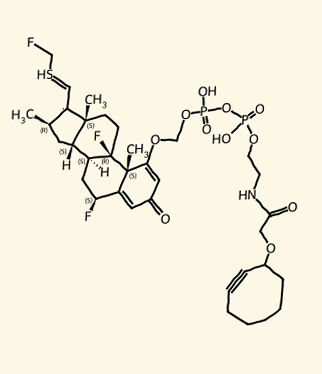 C[C@@H]1C[C@H]2[C@@H]3C[C@H](F)C4=CC(=O)C=C(OCOP(=O)(O)OP(=O)(O)OCCNC(=O)COC5C#CCCCCC5)[C@@]4(C)[C@@]3(F)CC[C@@]2(C)[C]1C=[SH]CF